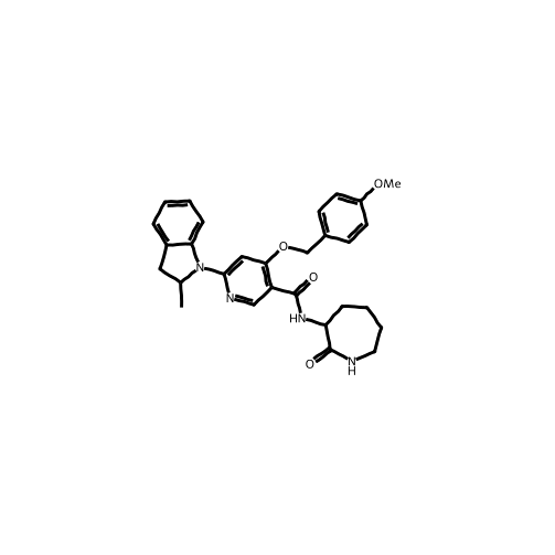 COc1ccc(COc2cc(N3c4ccccc4CC3C)ncc2C(=O)NC2CCCCNC2=O)cc1